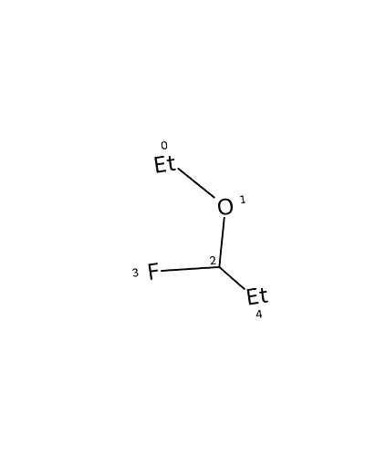 CCOC(F)CC